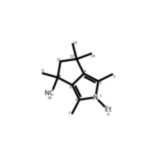 CCn1c(C)c2c(c1C)C(C)(C#N)CC2(C)C